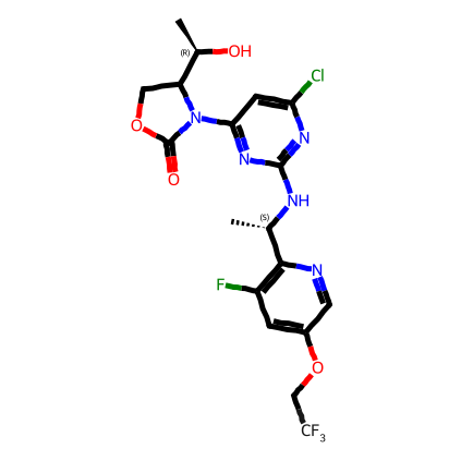 C[C@H](Nc1nc(Cl)cc(N2C(=O)OCC2[C@@H](C)O)n1)c1ncc(OCC(F)(F)F)cc1F